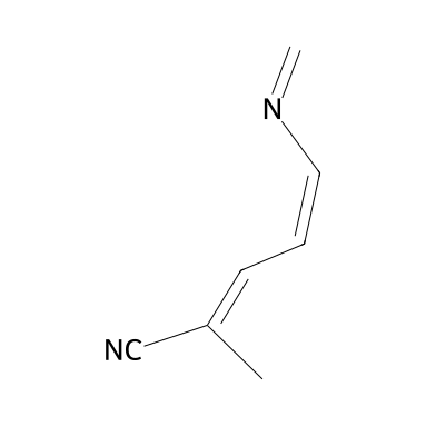 C=N/C=C\C=C(/C)C#N